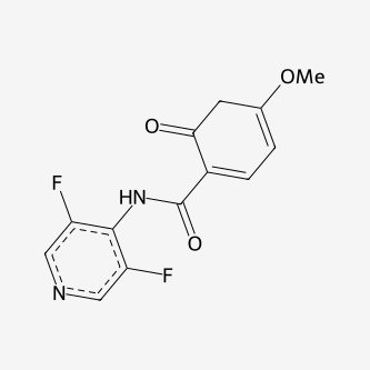 COC1=CC=C(C(=O)Nc2c(F)cncc2F)C(=O)C1